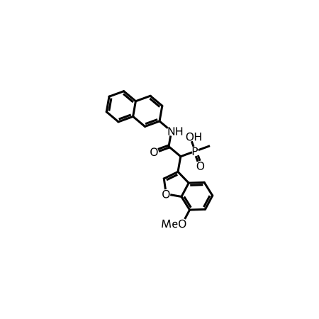 COc1cccc2c(C(C(=O)Nc3ccc4ccccc4c3)P(C)(=O)O)coc12